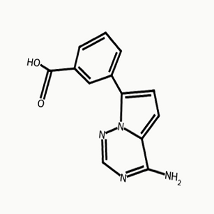 Nc1ncnn2c(-c3cccc(C(=O)O)c3)ccc12